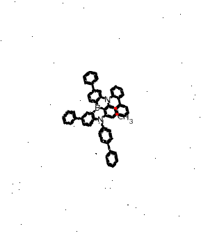 Cc1cc2c3c(c1)N(c1ccccc1-c1ccccc1)c1cc(-c4ccccc4)ccc1B3c1cc(-c3ccccc3)ccc1N2c1ccc(-c2ccccc2)cc1